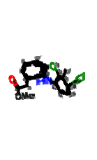 COC(=O)Cc1ccccc1Nc1ccc(Cl)c(C)c1Cl